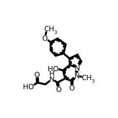 COc1ccc(-c2ccn3c2c(O)c(C(=O)NCC(=O)O)c(=O)n3C)cc1